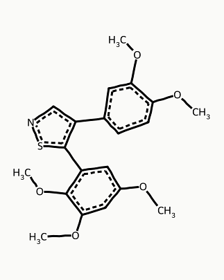 COc1cc(OC)c(OC)c(-c2sncc2-c2ccc(OC)c(OC)c2)c1